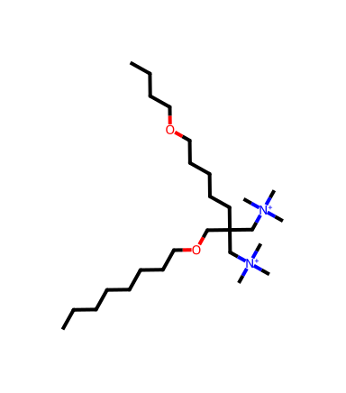 CCCCCCCCOCC(CCCCCOCCCC)(C[N+](C)(C)C)C[N+](C)(C)C